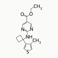 CCOC(=O)c1cnc(NC2(c3cscc3C)CCC2)nc1